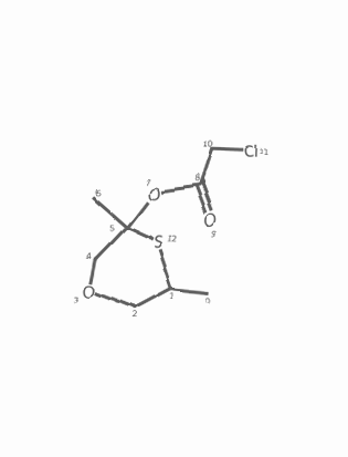 CC1COCC(C)(OC(=O)CCl)S1